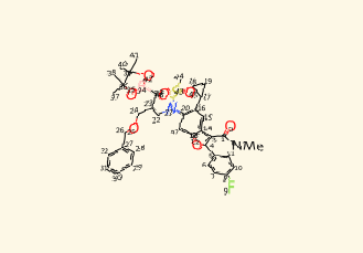 CNC(=O)c1c(-c2ccc(F)cc2)oc2c1=CC(C1CC1)C(N(CC(COCc1ccccc1)CB1OC(C)(C)C(C)(C)O1)S(C)(=O)=O)C=2